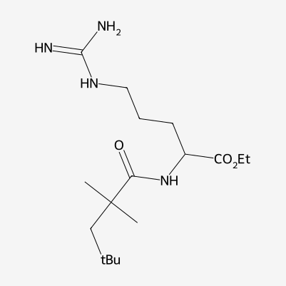 CCOC(=O)C(CCCNC(=N)N)NC(=O)C(C)(C)CC(C)(C)C